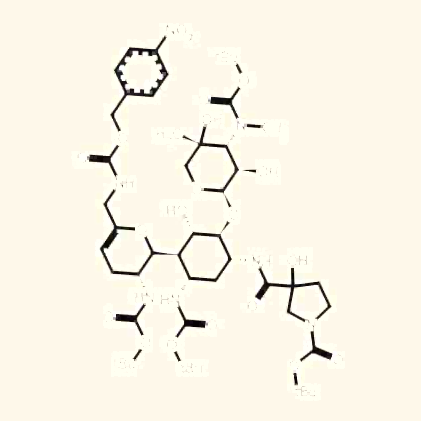 CN(C(=O)OC(C)(C)C)[C@@H]1[C@@H](O)[C@@H](O[C@@H]2[C@@H](O)[C@H](C3OC(CNC(=O)OCc4ccc([N+](=O)[O-])cc4)=CC[C@H]3NC(=O)OC(C)(C)C)[C@@H](NC(=O)OC(C)(C)C)C[C@H]2NC(=O)C2(O)CCN(C(=O)OC(C)(C)C)C2)OC[C@]1(C)O